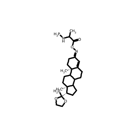 CC(NP)C(=O)O/N=C1/C=C2CCC3C(CC[C@@]4(C)C3CC[C@@H]4C3(C)OCCO3)[C@@]2(C)CC1